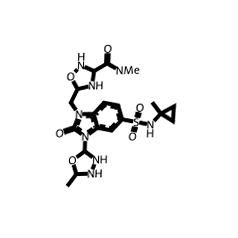 CNC(=O)C1NOC(Cn2c(=O)n(C3NNC(C)O3)c3cc(S(=O)(=O)NC4(C)CC4)ccc32)N1